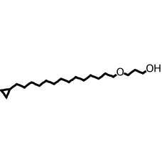 OCCCOCCCCCCCCCCCCCCC1CC1